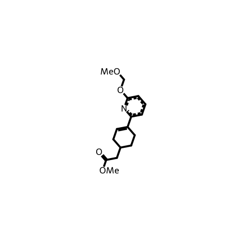 COCOc1cccc(C2=CCC(CC(=O)OC)CC2)n1